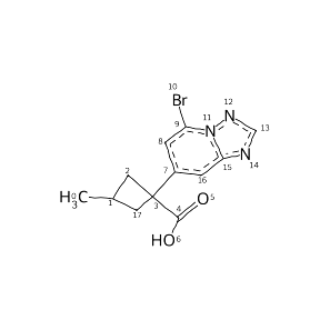 CC1CC(C(=O)O)(c2cc(Br)n3ncnc3c2)C1